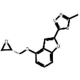 Cc1nnc(-c2cc3c(OC[C@@H]4CO4)cccc3o2)s1